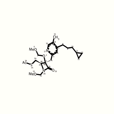 COCO[C@@]1(Cc2cc(CCCC3CC3)c(C)cn2)C(=O)N(COC)[C@H]1CSC(C)=O